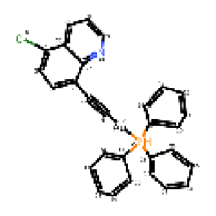 Clc1ccc(C#[C][Au][PH](c2ccccc2)(c2ccccc2)c2ccccc2)c2ncccc12